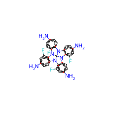 Nc1ccc(N(c2ccccc2)C(N(c2ccccc2)c2ccc(N)cc2F)(N(c2ccccc2)c2ccc(N)cc2F)N(c2ccccc2)c2ccc(N)cc2F)c(F)c1